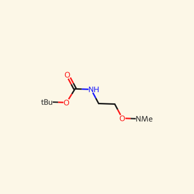 CNOCCNC(=O)OC(C)(C)C